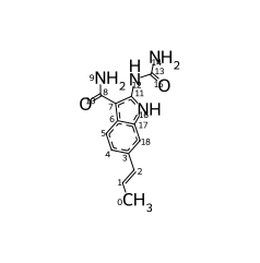 CC=Cc1ccc2c(C(N)=O)c(NC(N)=O)[nH]c2c1